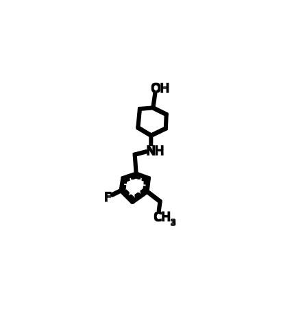 CCc1cc(F)cc(CNC2CCC(O)CC2)c1